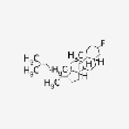 CC(C)CCC[C@@H](C)[C@H]1CC[C@H]2[C@@H]3CC[C@H]4CC(F)CC[C@]4(C)[C@H]3CC[C@]12C